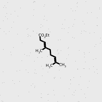 CCOC(=O)C/C=C(\C)CCC=C(C)C